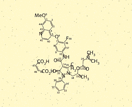 COc1ccc2c(Oc3ccc(NC(=O)c4c(C)n(C[C@H](C)OC(=O)CN(C)C)n(-c5ccccc5)c4=O)cc3F)ccnc2c1.O=C(O)/C=C\C(=O)O